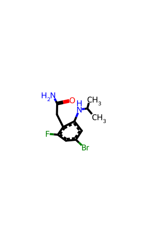 CC(C)Nc1cc(Br)cc(F)c1CC(N)=O